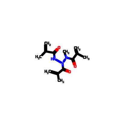 C=C(C)C(=O)NN(C(=O)C(=C)C)N(C)C(=O)C(=C)C